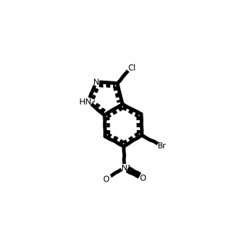 O=[N+]([O-])c1cc2[nH]nc(Cl)c2cc1Br